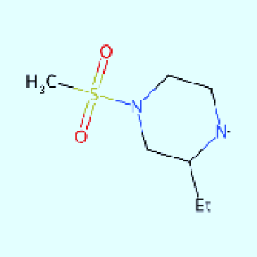 CCC1CN(S(C)(=O)=O)CC[N]1